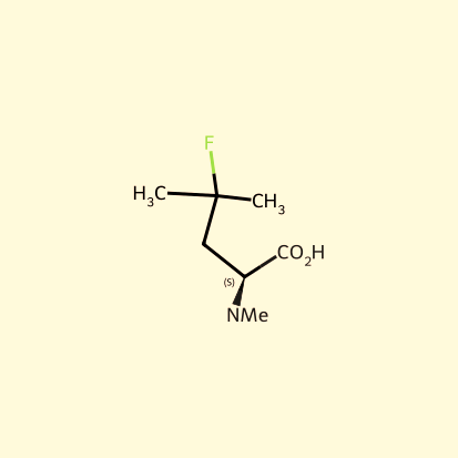 CN[C@@H](CC(C)(C)F)C(=O)O